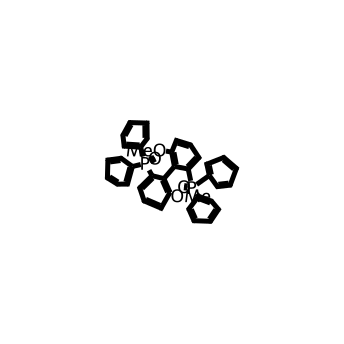 COc1cccc(P(=O)(c2ccccc2)c2ccccc2)c1-c1c(OC)cccc1P(=O)(c1ccccc1)c1ccccc1